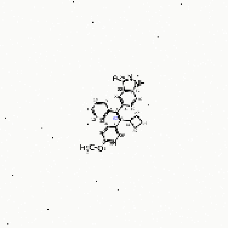 COc1ccc(/C(=C(\c2[c]cccc2)c2ccc3[nH]nc(F)c3c2)C2CCC2)cn1